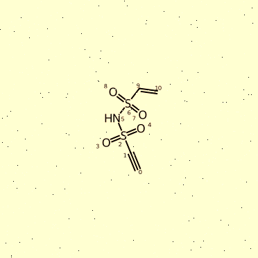 C#CS(=O)(=O)NS(=O)(=O)C=C